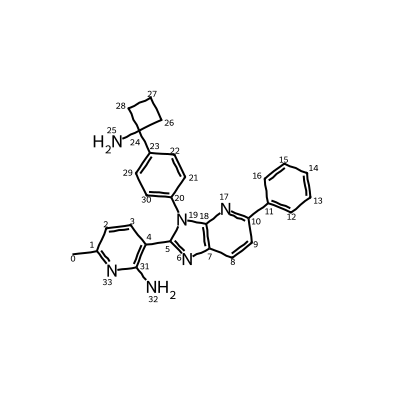 Cc1ccc(-c2nc3ccc(-c4ccccc4)nc3n2-c2ccc(C3(N)CCC3)cc2)c(N)n1